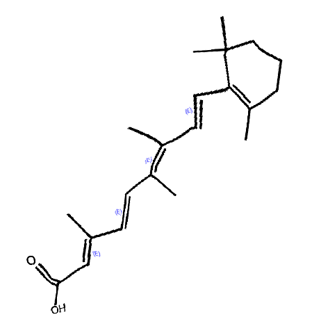 CC1=C(/C=C/C(C)=C(C)/C=C/C(C)=C/C(=O)O)C(C)(C)CCC1